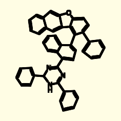 c1ccc(C2=NC(c3ccc(-c4c(-c5ccccc5)ccc5oc6cc7ccccc7cc6c45)c4ccccc34)=NC(c3ccccc3)N2)cc1